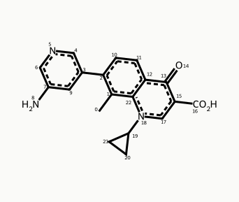 Cc1c(-c2cncc(N)c2)ccc2c(=O)c(C(=O)O)cn(C3CC3)c12